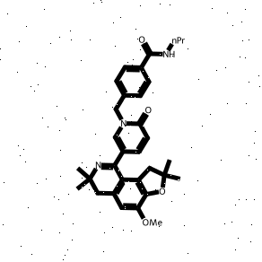 CCCNC(=O)c1ccc(Cn2cc(C3=NC(C)(C)Cc4cc(OC)c5c(c43)CC(C)(C)O5)ccc2=O)cc1